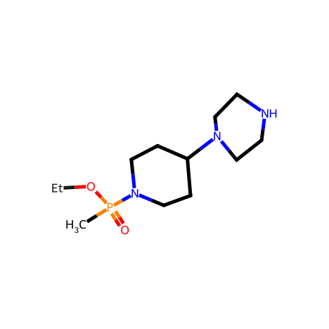 CCOP(C)(=O)N1CCC(N2CCNCC2)CC1